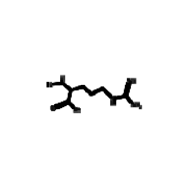 CCN[C@@H](CCCNC(=N)N)C(=O)CC